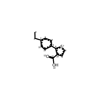 CCc1ccc(-c2sccc2C(=O)O)cc1